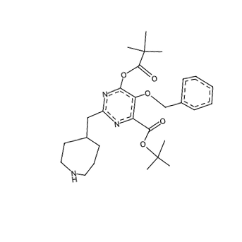 CC(C)(C)OC(=O)c1nc(CC2CCCNCC2)nc(OC(=O)C(C)(C)C)c1OCc1ccccc1